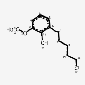 O=C(O)Oc1cccc(CCCCCCl)c1O